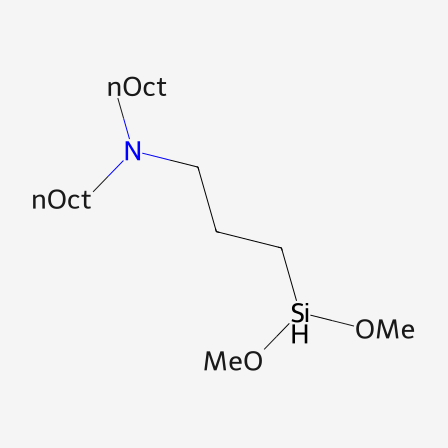 CCCCCCCCN(CCCCCCCC)CCC[SiH](OC)OC